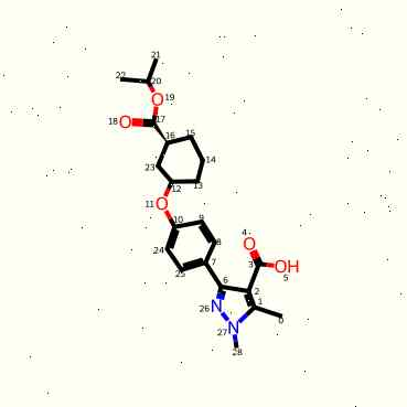 Cc1c(C(=O)O)c(-c2ccc(OC3CCC[C@H](C(=O)OC(C)C)C3)cc2)nn1C